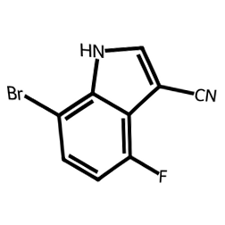 N#Cc1c[nH]c2c(Br)ccc(F)c12